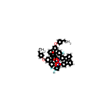 C=Cc1ccc(Oc2ccc(C3(c4ccc(F)cc4)c4ccccc4-c4ccc(N(c5ccc(F)cc5)c5ccc6c(c5)C5(c7ccccc7-6)c6ccccc6-c6ccc(N(c7ccc(F)cc7)c7ccc8c(c7)C(c7ccc(F)cc7)(c7ccc(Oc9ccc(C=C)cc9)cc7)c7ccccc7-8)cc65)cc43)cc2)cc1